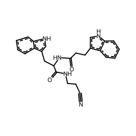 N#CCCNC(=O)C(Cc1c[nH]c2ccccc12)NC(=O)CCc1c[nH]c2ccccc12